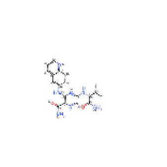 C=C(C)[C@@H](Nc1cnc(C(N)=O)c(Nc2ccc3ncccc3c2)n1)C(N)=O